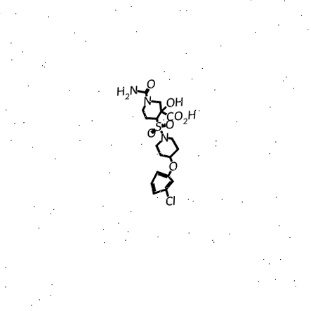 NC(=O)N1CCC(S(=O)(=O)N2CCC(Oc3cccc(Cl)c3)CC2)C(O)(C(=O)O)C1